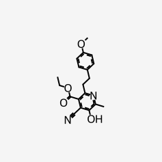 CCOC(=O)c1c(CCc2ccc(OC)cc2)nc(C)c(O)c1C#N